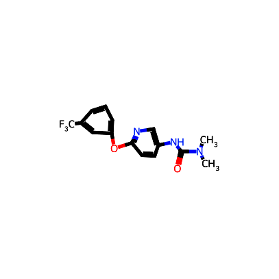 CN(C)C(=O)Nc1ccc(Oc2cccc(C(F)(F)F)c2)nc1